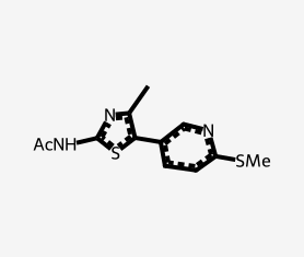 CSc1ccc(-c2sc(NC(C)=O)nc2C)cn1